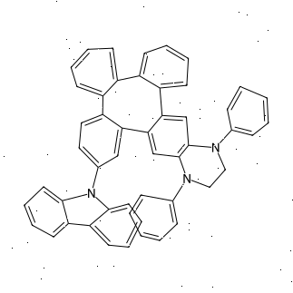 c1ccc(N2CCN(c3ccccc3)c3cc4c(cc32)-c2ccccc2-c2ccccc2-c2ccc(-n3c5ccccc5c5ccccc53)cc2-4)cc1